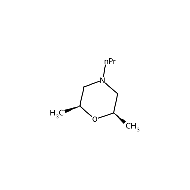 CCCN1C[C@@H](C)O[C@@H](C)C1